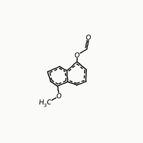 COc1cccc2c(OC=O)cccc12